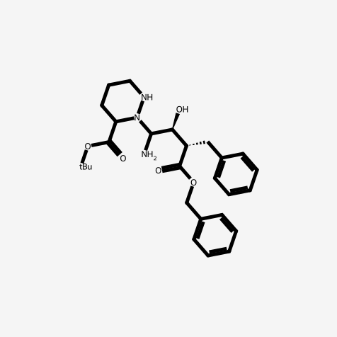 CC(C)(C)OC(=O)C1CCCNN1C(N)[C@@H](O)[C@H](Cc1ccccc1)C(=O)OCc1ccccc1